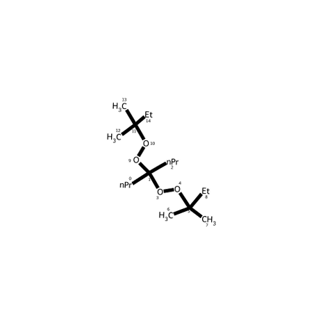 CCCC(CCC)(OOC(C)(C)CC)OOC(C)(C)CC